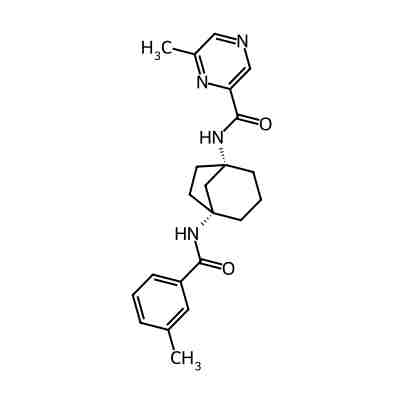 Cc1cccc(C(=O)N[C@]23CCC[C@](NC(=O)c4cncc(C)n4)(CC2)C3)c1